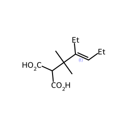 CC/C=C(\CC)C(C)(C)C(C(=O)O)C(=O)O